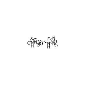 O=C1CSc2ccc(N3C[C@H](CCCN[C@@H]4Cn5c(=O)ccc6ncc(F)c4c65)OC3=O)nc2N1